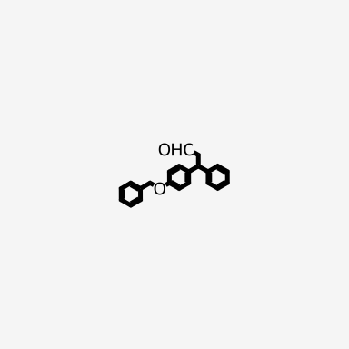 O=CCC(c1ccccc1)c1ccc(OCc2ccccc2)cc1